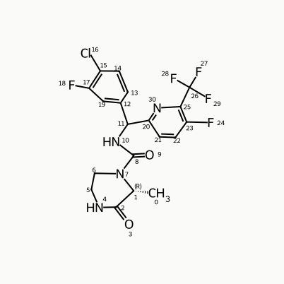 C[C@@H]1C(=O)NCCN1C(=O)NC(c1ccc(Cl)c(F)c1)c1ccc(F)c(C(F)(F)F)n1